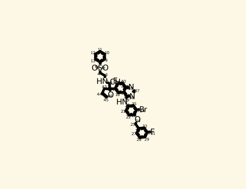 CC(NCCS(=O)(=O)c1ccccc1)C1(c2cc3c(Nc4ccc(OCc5cccc(F)c5)c(Br)c4)ncnc3cc2F)CC=CO1